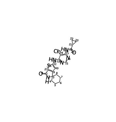 O=C1NC2(CCCCC2)c2cc(Nc3ncnc(NC(=O)C4CC4)c3Cl)sc21